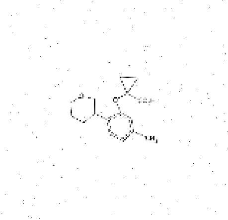 Cc1ccc(C2=COCCC2)c(OC2(C(=O)O)CC2)c1